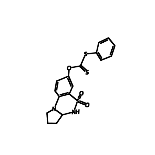 O=S1(=O)NC2CCCN2c2ccc(OC(=S)Sc3ccccc3)cc21